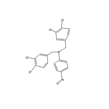 O=[As]c1ccc(N(Cc2ccc(Cl)c(Cl)c2)Cc2ccc(Cl)c(Cl)c2)cc1